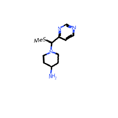 CSC(c1ccncn1)N1CCC(N)CC1